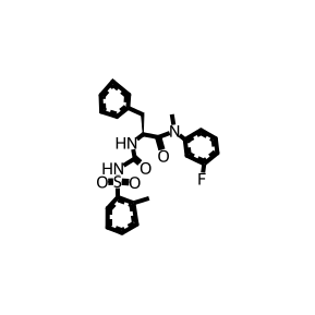 Cc1ccccc1S(=O)(=O)NC(=O)N[C@@H](Cc1ccccc1)C(=O)N(C)c1cccc(F)c1